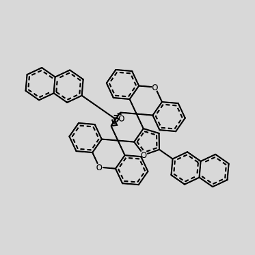 c1ccc2c(c1)Oc1ccccc1C21c2cc(-c3ccc4ccccc4c3)oc2C2(c3ccccc3Oc3ccccc32)c2cc(-c3ccc4ccccc4c3)oc21